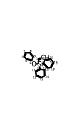 C=C[Si](Oc1ccccc1)(c1ccccc1)c1ccccc1